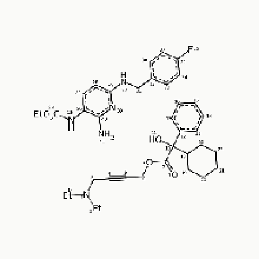 CCN(CC)CC#CCOC(=O)C(O)(c1ccccc1)C1CCCCC1.CCOC(=O)Nc1ccc(NCc2ccc(F)cc2)nc1N